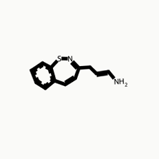 NC=CCC1=NSc2ccccc2C=C1